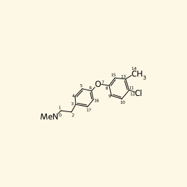 CNCCc1ccc(Oc2ccc(Cl)c(C)c2)cc1